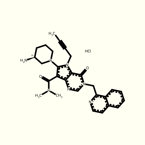 CC#CCn1c(N2CCC[C@H](N)C2)c(C(=O)N(C)C)c2ncn(Cc3nccc4ccccc34)c(=O)c21.Cl